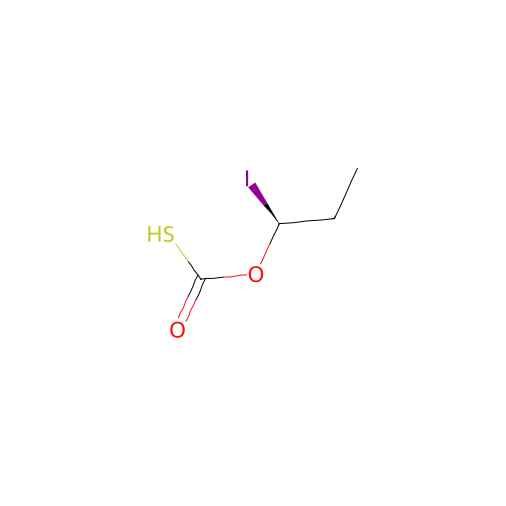 CC[C@H](I)OC(=O)S